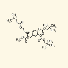 COC(=O)[C@H](Cc1ccc(OC(=O)OCC(C)(C)C)c(OC(=O)OCC(C)(C)C)c1)NCCOC(=O)CCC(C)C